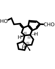 C[C@@]12CCC[C@H]1[C@@H]1CC(=CCCO)c3ccc(C=O)cc3[C@H]1CC2